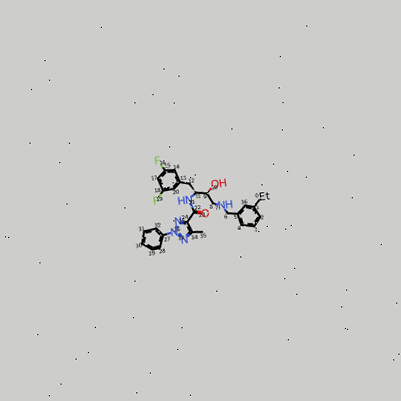 CCc1cccc(CNC[C@H](O)[C@H](Cc2cc(F)cc(F)c2)NC(=O)c2nn(-c3ccccc3)nc2C)c1